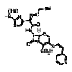 C#CCO/N=C(\C(=O)NC1C(=O)N2C(C(=O)O)=C(S/C=C\c3cccnc3)CS[C@H]12)c1csc(NC=O)n1